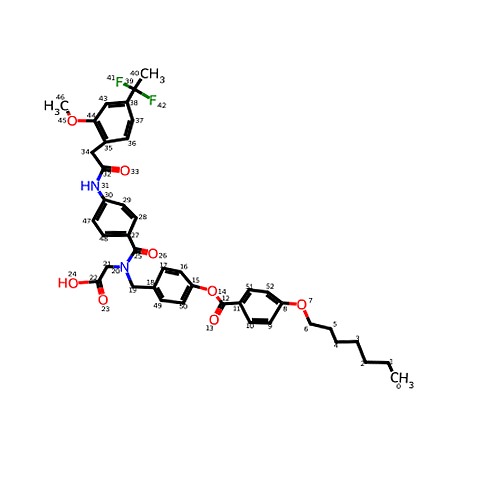 CCCCCCCOc1ccc(C(=O)Oc2ccc(CN(CC(=O)O)C(=O)c3ccc(NC(=O)Cc4ccc(C(C)(F)F)cc4OC)cc3)cc2)cc1